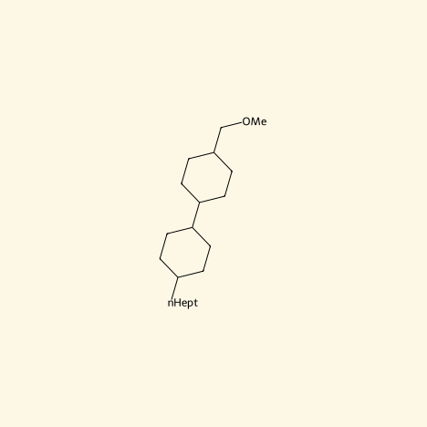 CCCCCCCC1CCC(C2CCC(COC)CC2)CC1